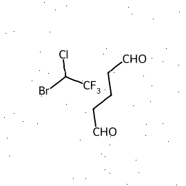 FC(F)(F)C(Cl)Br.O=CCCCC=O